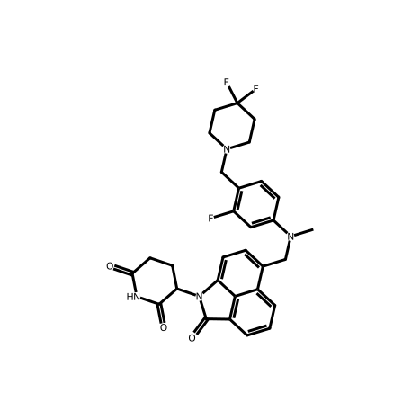 CN(Cc1ccc2c3c(cccc13)C(=O)N2C1CCC(=O)NC1=O)c1ccc(CN2CCC(F)(F)CC2)c(F)c1